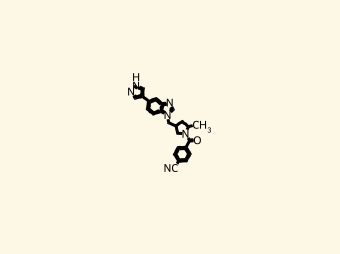 CC1CC(Cn2cnc3cc(-c4cn[nH]c4)ccc32)CN1C(=O)c1ccc(C#N)cc1